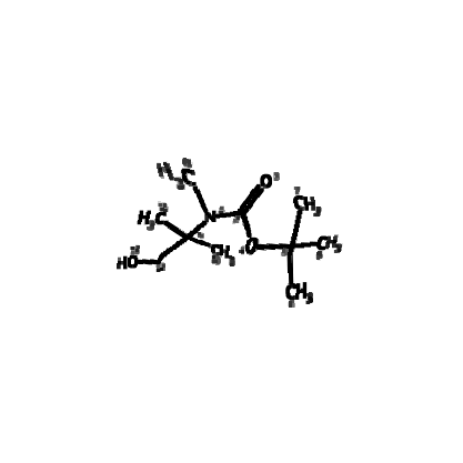 CN(C(=O)OC(C)(C)C)C(C)(C)CO